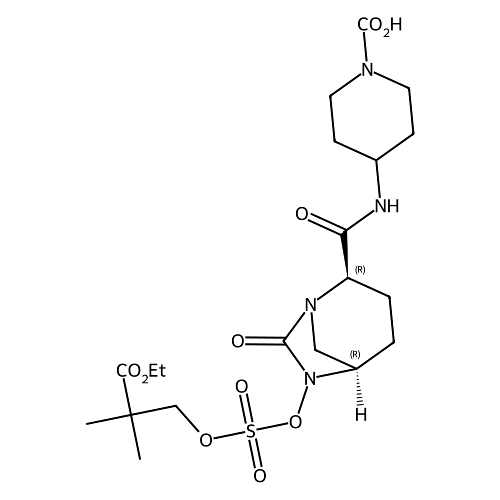 CCOC(=O)C(C)(C)COS(=O)(=O)ON1C(=O)N2C[C@H]1CC[C@@H]2C(=O)NC1CCN(C(=O)O)CC1